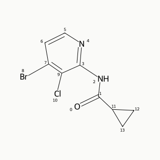 O=C(Nc1nccc(Br)c1Cl)C1CC1